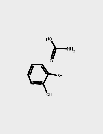 NC(=O)O.Oc1ccccc1S